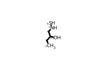 CCC(O)CNS